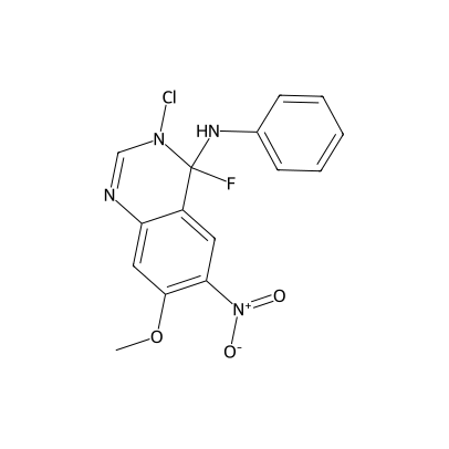 COc1cc2c(cc1[N+](=O)[O-])C(F)(Nc1ccccc1)N(Cl)C=N2